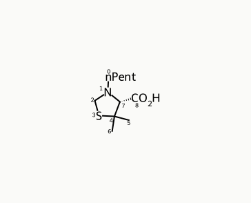 CCCCCN1CSC(C)(C)[C@H]1C(=O)O